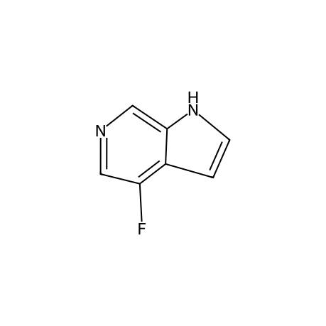 Fc1cncc2[nH]ccc12